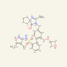 CCCCC1=NC2(CCCC2)C(=O)N1Cc1ccc(-c2ccccc2S(=O)(=O)Nc2noc(C)c2CC)c(COC2COC2)c1